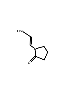 O=C1CCCN1C=[CH][PoH]